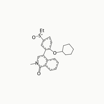 CC[S+]([O-])c1ccc(OC2CCCCC2)c(-c2cn(C)c(=O)c3ccccc23)c1